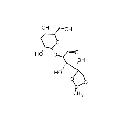 CB1OCC([C@@H](O)[C@H](O)[C@H](C=O)O[C@H]2O[C@H](CO)[C@@H](O)C[C@H]2O)O1